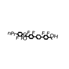 CCCc1ccc(OC(=O)c2ccc(C3=CCC(c4ccc(C(C)O)c(F)c4F)CC3)c(F)c2F)c(F)c1F